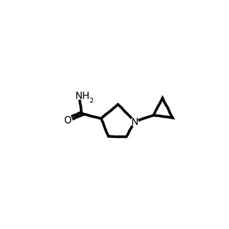 NC(=O)C1CCN(C2CC2)C1